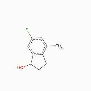 Cc1cc(F)cc2c1CCC2O